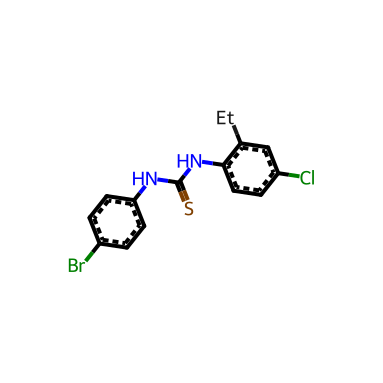 CCc1cc(Cl)ccc1NC(=S)Nc1ccc(Br)cc1